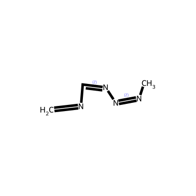 C=N/C=N\N=N/C